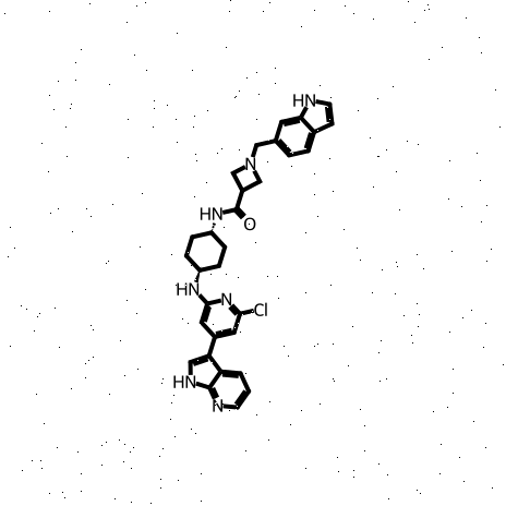 O=C(N[C@H]1CC[C@H](Nc2cc(-c3c[nH]c4ncccc34)cc(Cl)n2)CC1)C1CN(Cc2ccc3cc[nH]c3c2)C1